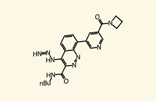 CCCCNC(=O)c1nnc2c(-c3cncc(C(=O)N4CCC4)c3)cccc2c1NN=N